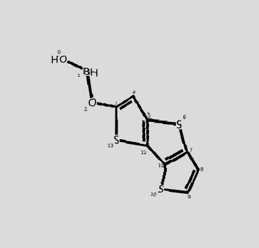 OBOc1cc2sc3ccsc3c2s1